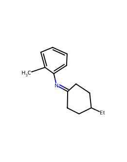 CCC1CCC(=Nc2ccccc2C)CC1